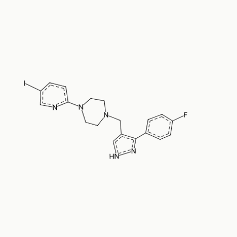 Fc1ccc(-c2n[nH]cc2CN2CCN(c3ccc(I)cn3)CC2)cc1